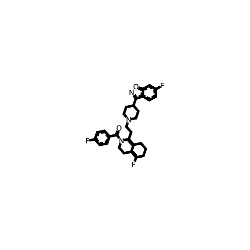 O=C(c1ccc(F)cc1)N1CCC2=C(F)CCCC2=C1CCN1CCC(c2noc3cc(F)ccc23)CC1